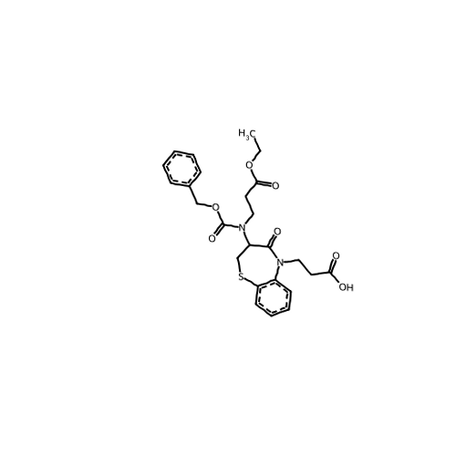 CCOC(=O)CCN(C(=O)OCc1ccccc1)C1CSc2ccccc2N(CCC(=O)O)C1=O